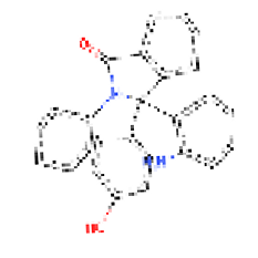 Nc1ccccc1C1(c2ccc(O)cc2)c2ccccc2C(=O)N1c1ccccc1